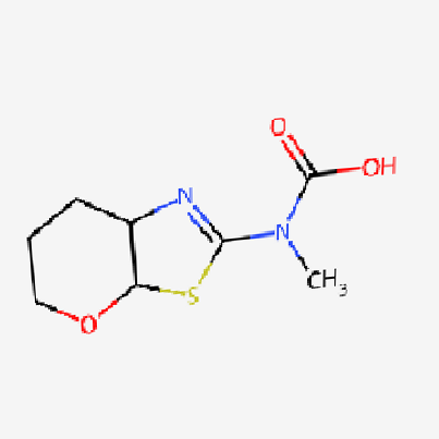 CN(C(=O)O)C1=NC2CCCOC2S1